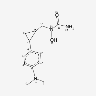 CN(C)c1ccc(C2CC2CN(O)C(N)=O)cc1